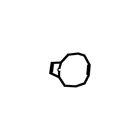 C1=CCCCC2C=CC(CCC1)C2